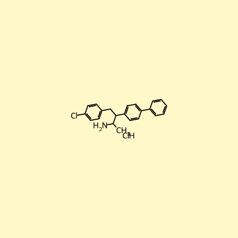 CC(N)C(Cc1ccc(Cl)cc1)c1ccc(-c2ccccc2)cc1.Cl